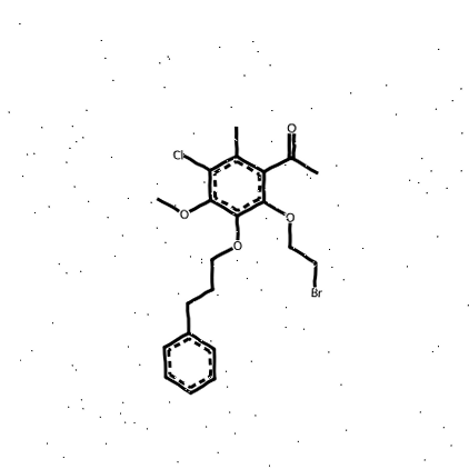 COc1c(Cl)c(C)c(C(C)=O)c(OCCBr)c1OCCCc1ccccc1